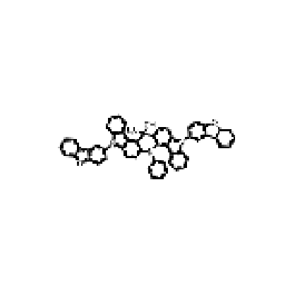 CC1(C)c2ccc3c(c2N(c2ccccc2)c2ccc4c(c21)c1ccccc1n4-c1ccc2oc4ccccc4c2c1)c1ccccc1n3-c1ccc2c(c1)C1=CC=CCC1O2